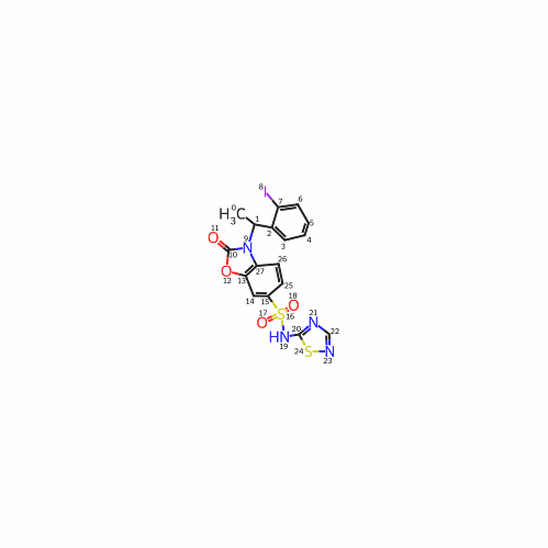 CC(c1ccccc1I)n1c(=O)oc2cc(S(=O)(=O)Nc3ncns3)ccc21